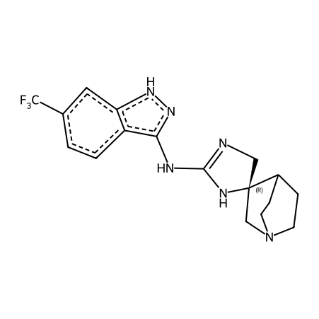 FC(F)(F)c1ccc2c(NC3=NC[C@@]4(CN5CCC4CC5)N3)n[nH]c2c1